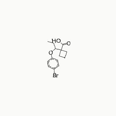 CCC(Oc1ccc(Br)cc1)C1(C(=O)O)CCC1